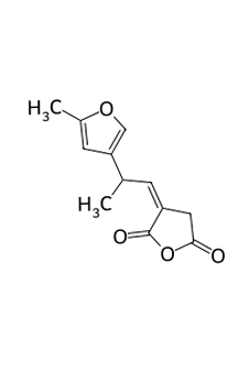 Cc1cc(C(C)C=C2CC(=O)OC2=O)co1